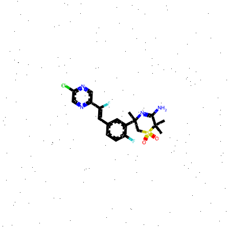 CC1(c2cc(C=C(F)c3cnc(Cl)cn3)ccc2F)CS(=O)(=O)C(C)(C)C(N)=N1